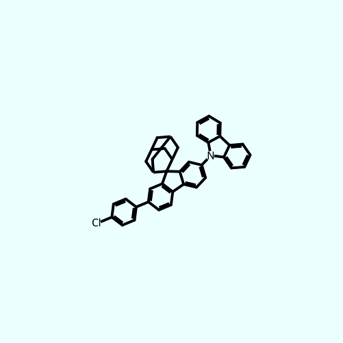 Clc1ccc(-c2ccc3c(c2)C2(c4cc(-n5c6ccccc6c6ccccc65)ccc4-3)C3CC4CC(C3)CC2C4)cc1